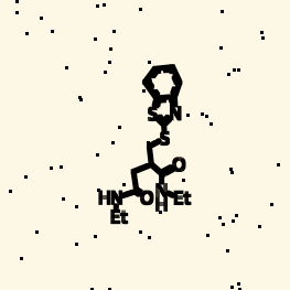 CCNC(=O)CC(CSc1nc2ccccc2s1)C(=O)NCC